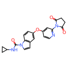 O=C1CCC(=O)N1c1cc(Oc2ccc3c(ccn3C(=O)NC3CC3)c2)ccn1